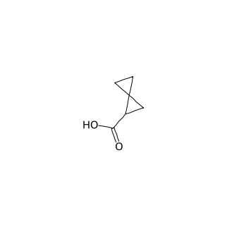 O=C(O)C1CC12CC2